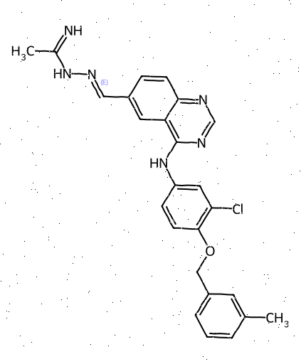 CC(=N)N/N=C/c1ccc2ncnc(Nc3ccc(OCc4cccc(C)c4)c(Cl)c3)c2c1